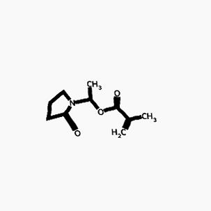 C=C(C)C(=O)OC(C)N1CCCC1=O